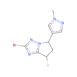 Cn1cc(C2CC(F)c3nc(Br)nn32)cn1